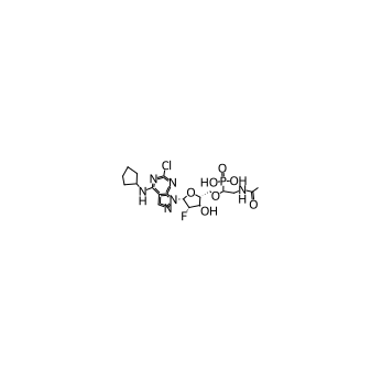 CC(=O)NCC(OC[C@H]1O[C@@H](n2ncc3c(NC4CCCC4)nc(Cl)nc32)[C@@H](F)[C@@H]1O)P(=O)(O)O